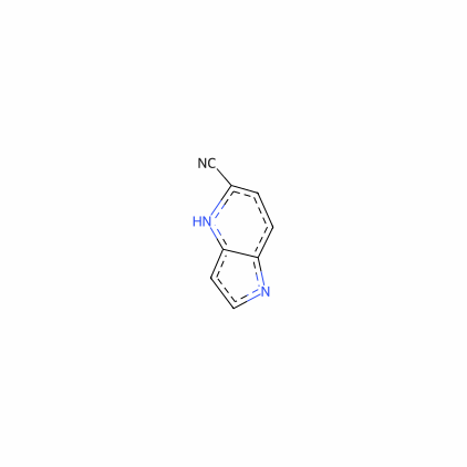 N#Cc1ccc2nccc-2[nH]1